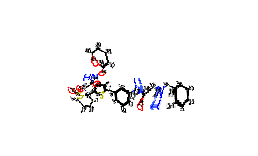 O=C(C[C@]1(c2ccc(-c3cccc(NC(=O)CNCc4ccccc4)c3)s2)CCCCS1(=O)=O)NOC1CCCCO1